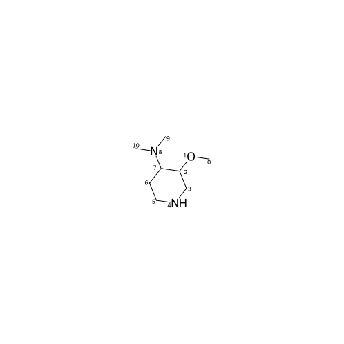 COC1CNCCC1N(C)C